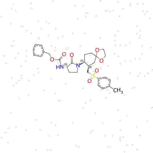 Cc1ccc(S(=O)(=O)C[C@@H]2CC3(CC[C@@H]2N2CC[C@H](NC(=O)OCc4ccccc4)C2=O)OCCO3)cc1